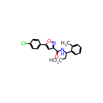 Cc1ccccc1C(CC(=O)O)NC(=O)c1cc(-c2ccc(Cl)cc2)on1